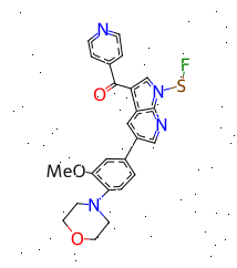 COc1cc(-c2cnc3c(c2)c(C(=O)c2ccncc2)cn3SF)ccc1N1CCOCC1